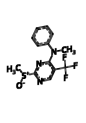 CN(c1ccccc1)c1nc([S+](C)[O-])ncc1C(F)(F)F